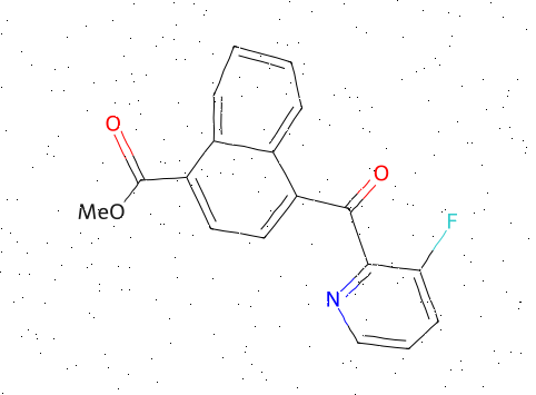 COC(=O)c1ccc(C(=O)c2ncccc2F)c2ccccc12